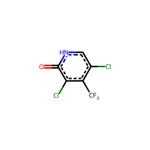 O=c1[nH]cc(Cl)c(C(F)(F)F)c1Cl